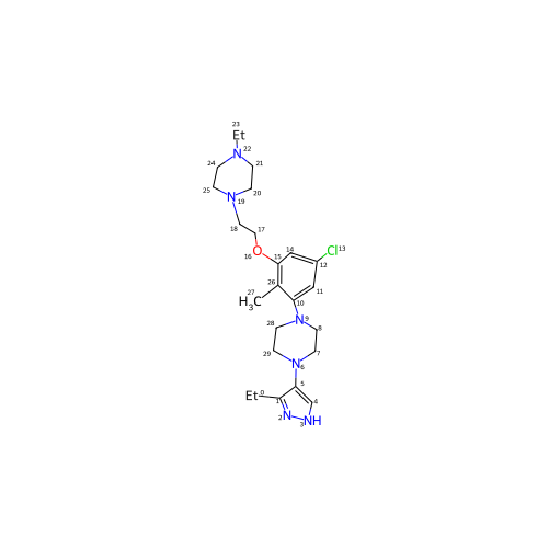 CCc1n[nH]cc1N1CCN(c2cc(Cl)cc(OCCN3CCN(CC)CC3)c2C)CC1